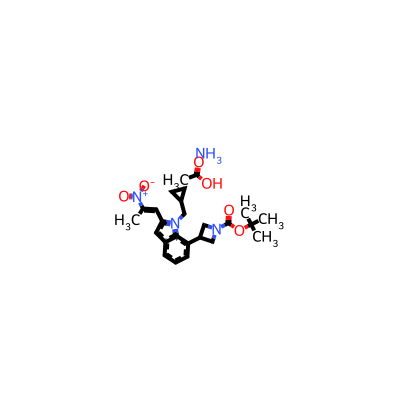 C/C(=C\c1cc2cccc(C3CN(C(=O)OC(C)(C)C)C3)c2n1CC1CC1)[N+](=O)[O-].CC(=O)O.N